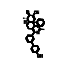 Cc1nc(-c2cccc(-c3ccc(O)cc3)c2)c2c(n1)[C@@]1(c3ccccc3)C=C(C#N)C(=O)[C@@H](C)[C@@H]1CC2